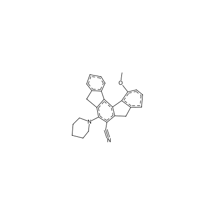 COc1cccc2c1-c1c(c(C#N)c(N3CCCCC3)c3c1-c1ccccc1C3)C2